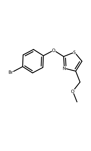 COCc1csc(Oc2ccc(Br)cc2)n1